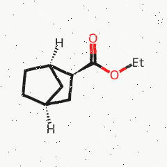 CCOC(=O)[C@H]1C[C@H]2CC[C@@H]1C2